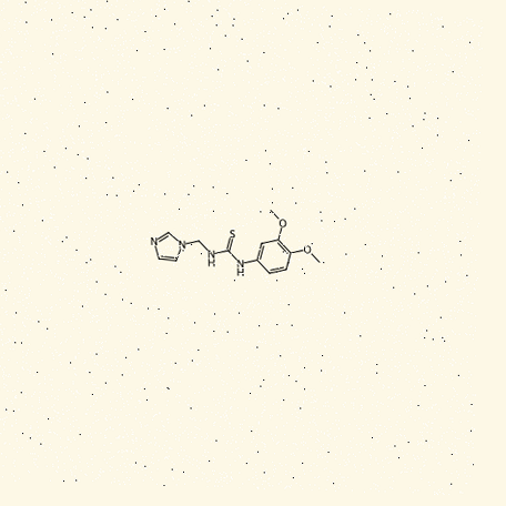 COc1ccc(NC(=S)NCn2ccnc2)cc1OC